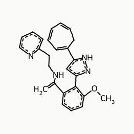 C=C(NCCc1ccccn1)c1cccc(OC)c1-c1cc(C2=CC=CC=CC2)[nH]n1